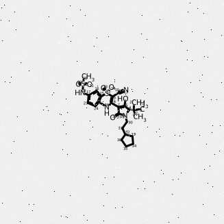 CC(C)(C)[C@H]1C(O)=C(C2=C(C#N)S(=O)(=O)c3cc(NS(C)(=O)=O)ccc3N2)C(=O)N1CCC1CCCC1